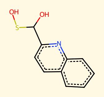 OSC(O)c1ccc2ccccc2n1